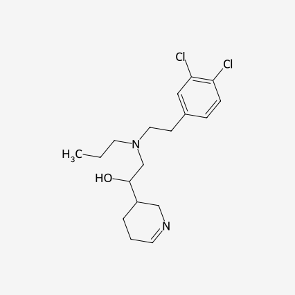 CCCN(CCc1ccc(Cl)c(Cl)c1)CC(O)C1CCC=NC1